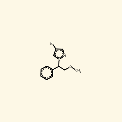 COCC(c1ccccc1)n1cc(Br)cn1